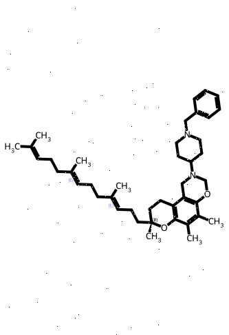 CC(C)=CCC/C(C)=C/CC/C(C)=C/CC[C@]1(C)CCc2c3c(c(C)c(C)c2O1)OCN(C1CCN(Cc2ccccc2)CC1)C3